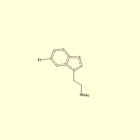 CCc1ccc2scc(CCNC(C)=O)c2c1